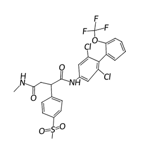 CNC(=O)CC(C(=O)Nc1cc(Cl)c(-c2ccccc2OC(F)(F)F)c(Cl)c1)c1ccc(S(C)(=O)=O)cc1